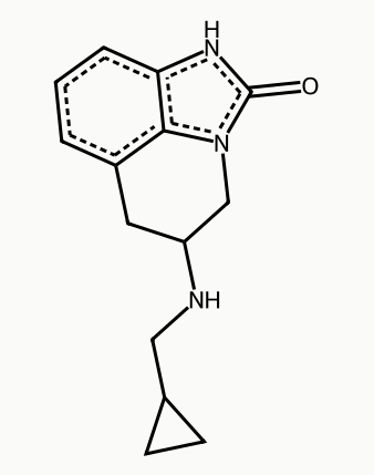 O=c1[nH]c2cccc3c2n1CC(NCC1CC1)C3